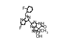 CC1(C(F)(F)CO)C(=O)Nc2nc(-c3nn(Cc4ccccc4F)c4ncc(F)cc34)nc(N)c21